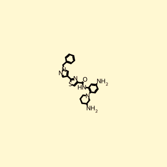 Nc1ccc(N2CCCC(N)C2)c(NC(=O)c2csc(-c3cnn(Cc4ccccc4)c3)n2)c1